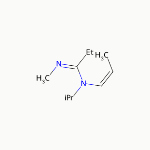 C/C=C\N(/C(CC)=N\C)C(C)C